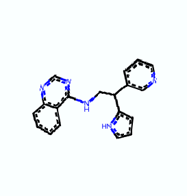 c1cncc(C(CNc2ncnc3ccccc23)c2ccc[nH]2)c1